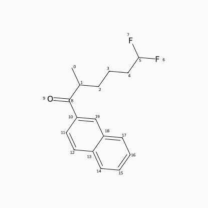 CC(CCCC(F)F)C(=O)c1ccc2ccccc2c1